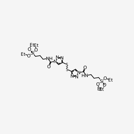 CCO[Si](CCCNC(=O)n1cc(SSc2cn(C(=O)NCCC[Si](OCC)(OCC)OCC)nn2)nn1)(OCC)OCC